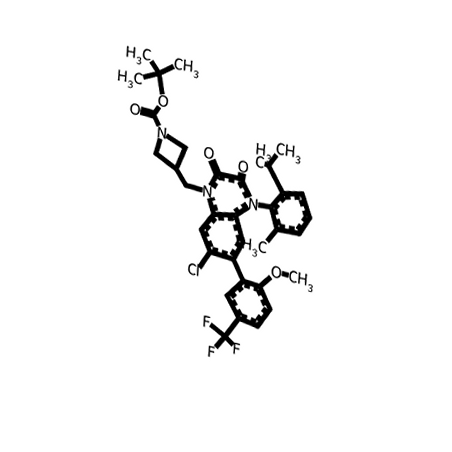 COc1ccc(C(F)(F)F)cc1-c1cc2c(cc1Cl)n(CC1CN(C(=O)OC(C)(C)C)C1)c(=O)c(=O)n2-c1c(C)cccc1C(C)C